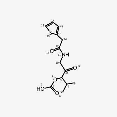 CC(C)C(OC(=O)O)C(=O)CNC(=O)Cc1cccs1